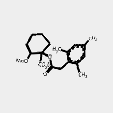 CCOC(=O)C1(OC(=O)Cc2c(C)cc(C)cc2C)CCCCC1OC